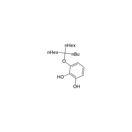 CCCCCCC(CCCC)(CCCCCC)Oc1cccc(O)c1O